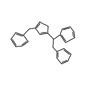 C1=C(Cc2ccccc2)C=C(C(Cc2ccccc2)c2ccccc2)C1